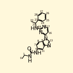 CCNC(=O)Nc1ccc2c(c1)ncn2-c1ccnc(NC(C)c2ccccc2)n1